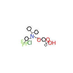 O=C(O)C1(c2cccc(OCCCN(Cc3cccc(C(F)(F)F)c3Cl)CC(c3ccccc3)c3ccccc3)c2)CCC1